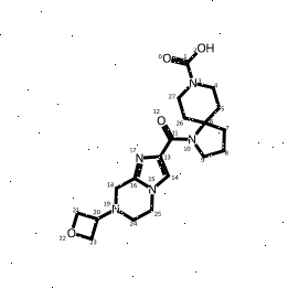 O=C(O)N1CCC2(CCCN2C(=O)c2cn3c(n2)CN(C2COC2)CC3)CC1